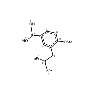 CCCN(CCC)Cc1cc(B(O)O)ccc1OC